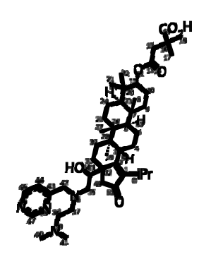 CC(C)C1=C2[C@H]3CC[C@@H]4[C@@]5(C)CC[C@H](OC(=O)CC(C)(C)C(=O)O)C(C)(C)[C@@H]5CC[C@@]4(C)[C@]3(C)CCC2(C(O)CN(CCN(C)C)Cc2ccncn2)CC1=O